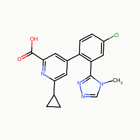 Cn1cnnc1-c1cc(Cl)ccc1-c1cc(C(=O)O)nc(C2CC2)c1